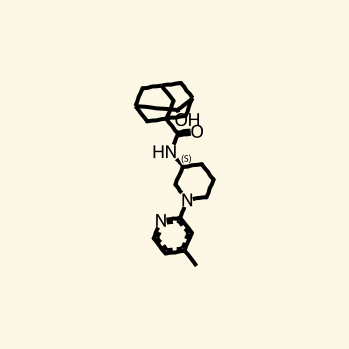 Cc1ccnc(N2CCC[C@H](NC(=O)C34CC5CC(C3)C(O)C(C5)C4)C2)c1